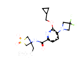 CCOC(=O)CC1(NC(=O)c2ccc(N3CC(F)(F)C3)c(OCC3CC3)n2)CS(=O)(=O)C1